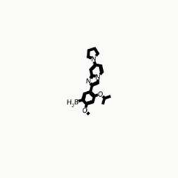 Bc1cc(-c2cn3ccc(N4CCCC4)cc3n2)c(OC(C)C)cc1OC